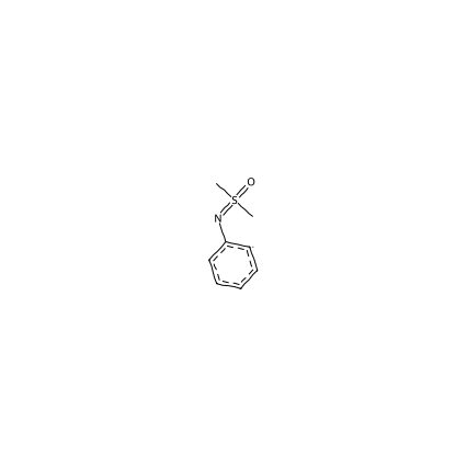 CS(C)(=O)=Nc1[c]cccc1